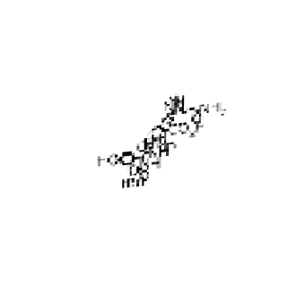 CC(C)(C)OC(=O)NC(C(=O)NC1C(=O)N2C(C(=O)O)=C(CSc3nnnn3CCC(N)=O)CS[C@H]12)c1ccc(O)cc1